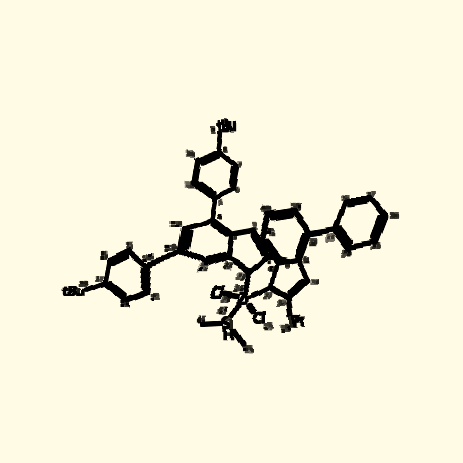 CC1=Cc2c(-c3ccc(C(C)(C)C)cc3)cc(-c3ccc(C(C)(C)C)cc3)cc2[CH]1[Zr]([Cl])([Cl])([CH]1C(C(C)C)=Cc2c(-c3ccccc3)cccc21)[SiH](C)C